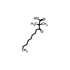 CCCCCCCCC(=O)C(C)(C)C(=O)O